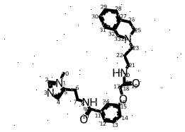 Cn1cncc1CCNC(=O)c1cccc(OCC(=O)NCCCN2CCc3ccccc3C2)c1